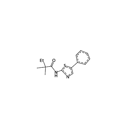 CCC(C)(C)C(=O)Nc1ncc(-c2ccccc2)s1